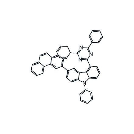 C1=CCC(c2nc(-c3ccccc3)nc(-c3cccc4c3c3cc(-c5ccc6ccc7ccccc7c6c5)ccc3n4-c3ccccc3)n2)C=C1